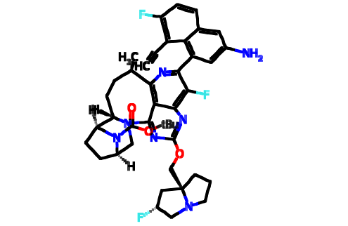 C#Cc1c(F)ccc2cc(N)cc(-c3nc4c5c(nc(OC[C@@]67CCCN6C[C@H](F)C7)nc5c3F)N3C[C@H]5CC[C@@H]([C@@H]3CC[C@H]4C)N5C(=O)OC(C)(C)C)c12